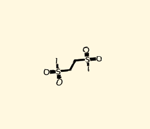 O=S(=O)(I)CCS(=O)(=O)I